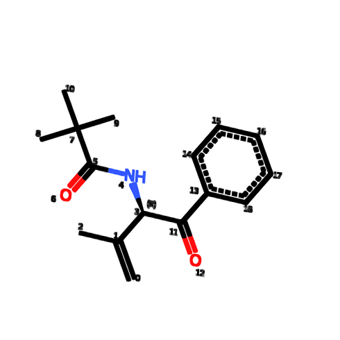 C=C(C)[C@@H](NC(=O)C(C)(C)C)C(=O)c1ccccc1